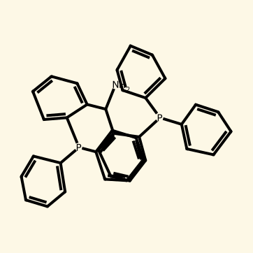 NC(c1ccccc1P(c1ccccc1)c1ccccc1)c1ccccc1P(c1ccccc1)c1ccccc1